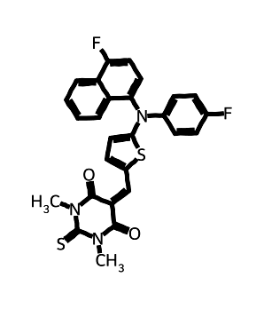 CN1C(=O)C(=Cc2ccc(N(c3ccc(F)cc3)c3ccc(F)c4ccccc34)s2)C(=O)N(C)C1=S